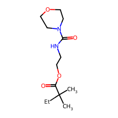 CCC(C)(C)C(=O)OCCNC(=O)N1CCOCC1